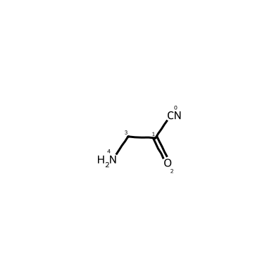 N#CC(=O)CN